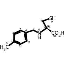 Cc1ccc(CN[C@@H](CS)C(=O)O)cc1